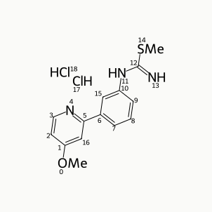 COc1ccnc(-c2cccc(NC(=N)SC)c2)c1.Cl.Cl